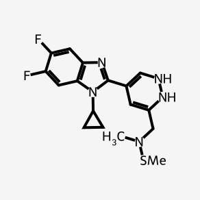 CSN(C)CC1=CC(c2nc3cc(F)c(F)cc3n2C2CC2)=CNN1